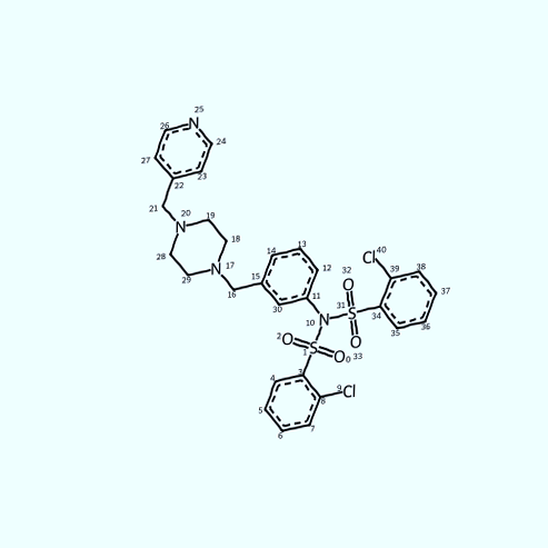 O=S(=O)(c1ccccc1Cl)N(c1cccc(CN2CCN(Cc3ccncc3)CC2)c1)S(=O)(=O)c1ccccc1Cl